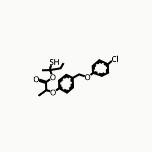 CCC(C)(S)OC(=O)C(C)Oc1ccc(COc2ccc(Cl)cc2)cc1